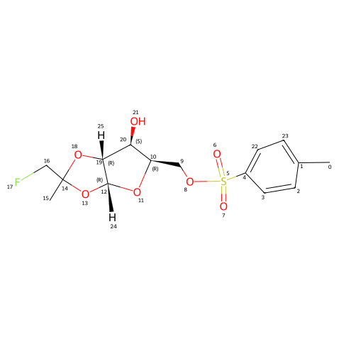 Cc1ccc(S(=O)(=O)OC[C@H]2O[C@@H]3OC(C)(CF)O[C@@H]3[C@H]2O)cc1